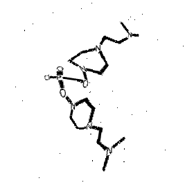 CN(C)CCN1CCN(OP(=O)(Cl)ON2CCN(CCN(C)C)CC2)CC1